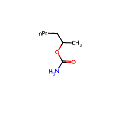 CCCCC(C)OC(N)=O